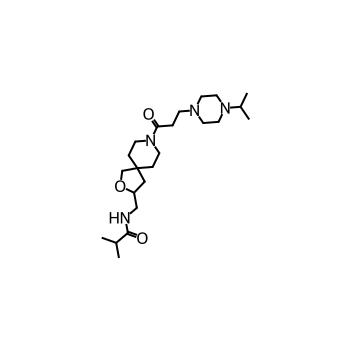 CC(C)C(=O)NCC1CC2(CCN(C(=O)CCN3CCN(C(C)C)CC3)CC2)CO1